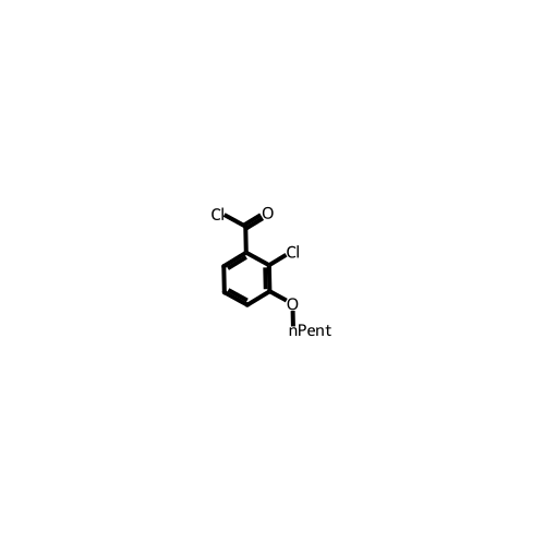 CCCCCOc1cccc(C(=O)Cl)c1Cl